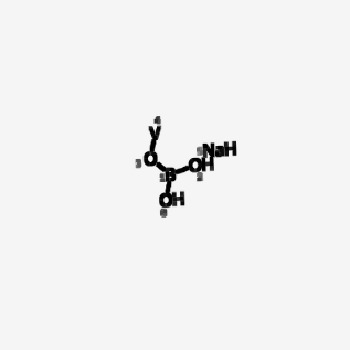 OB(O)[O][V].[NaH]